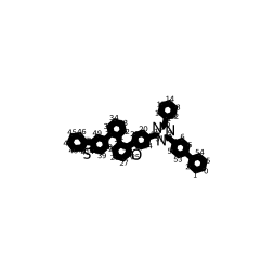 c1ccc(-c2ccc(-c3nc(-c4ccccc4)nc(-c4ccc5c(c4)oc4cccc(-c6ccccc6-c6ccc7sc8ccccc8c7c6)c45)n3)cc2)cc1